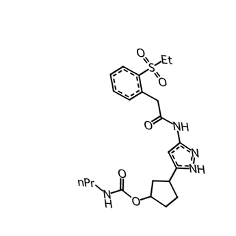 CCCNC(=O)OC1CCC(c2cc(NC(=O)Cc3ccccc3S(=O)(=O)CC)n[nH]2)C1